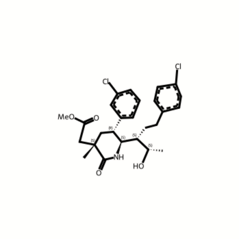 COC(=O)C[C@]1(C)C[C@H](c2cccc(Cl)c2)[C@@H]([C@H](CCc2ccc(Cl)cc2)[C@H](C)O)NC1=O